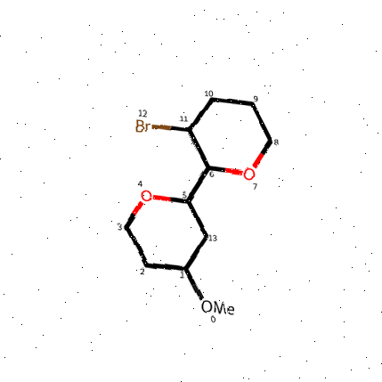 CO[C]1CCOC(C2OCCCC2Br)C1